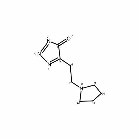 O=C1N=NN=C1CCN1CCCC1